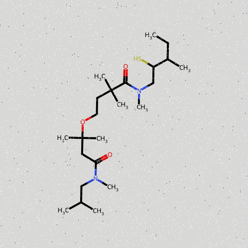 CCC(C)C(S)CN(C)C(=O)C(C)(C)CCOC(C)(C)CC(=O)N(C)CC(C)C